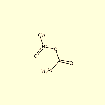 O=C([AsH2])O[N+](=O)O